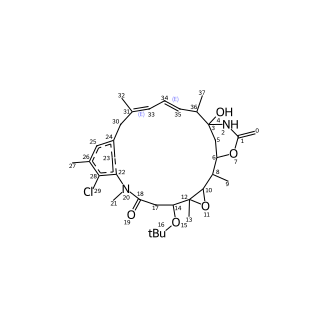 C=C1NC2(O)CC(O1)C(C)C1OC1(C)C(OC(C)(C)C)CC(=O)N(C)c1cc(cc(C)c1Cl)C/C(C)=C/C=C/C2C